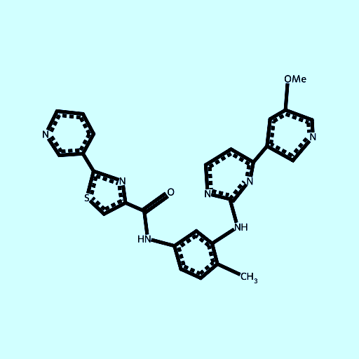 COc1cncc(-c2ccnc(Nc3cc(NC(=O)c4csc(-c5cccnc5)n4)ccc3C)n2)c1